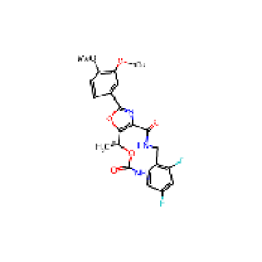 CCCCOc1cc(-c2nc(C(=O)NCc3ccc(F)cc3F)c([C@H](C)OC(N)=O)o2)ccc1OC